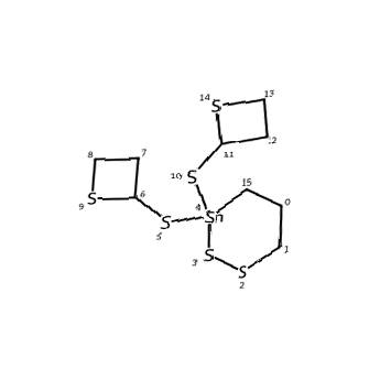 C1CS[S][Sn]([S]C2CCS2)([S]C2CCS2)[CH2]1